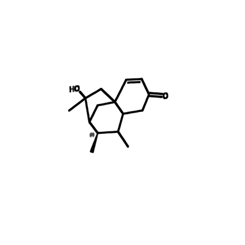 CC1C2CC(=O)C=CC23CC([C@@H]1C)C(C)(O)C3